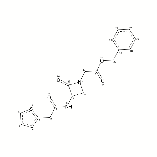 O=C(Cc1cccs1)NC1CN(CC(=O)OCc2ccccc2)C1=O